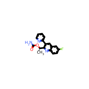 C[C@H](OC(N)=O)c1nc2ccc(F)cc2cc1-c1ccccn1